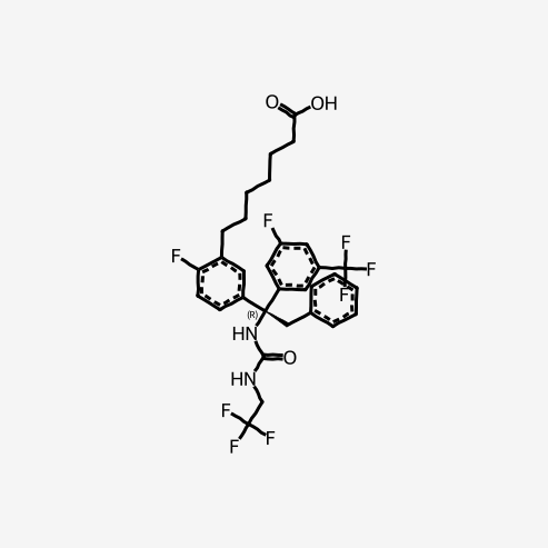 O=C(O)CCCCCCc1cc([C@@](Cc2ccccc2)(NC(=O)NCC(F)(F)F)c2cc(F)cc(C(F)(F)F)c2)ccc1F